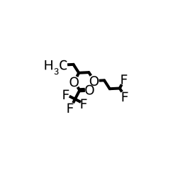 CCC(COCCC(F)F)OC(=O)C(F)(F)F